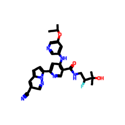 CC(C)Oc1cncc(Nc2cc(-c3ccc4cc(C#N)cnn34)ncc2C(=O)NCC(F)C(C)(C)O)c1